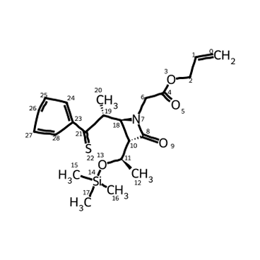 C=CCOC(=O)CN1C(=O)[C@H]([C@@H](C)O[Si](C)(C)C)[C@H]1[C@@H](C)C(=S)c1ccccc1